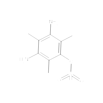 Cc1c(N)c(C)c(O[SH](=O)=O)c(C)c1N